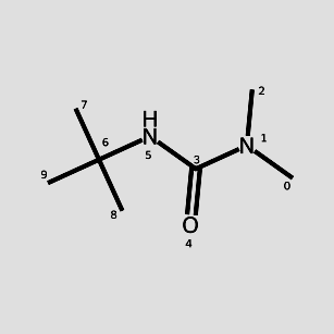 CN(C)C(=O)NC(C)(C)C